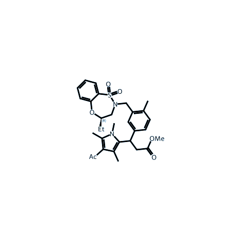 CC[C@@H]1CN(Cc2cc(C(CC(=O)OC)c3c(C)c(C(C)=O)c(C)n3C)ccc2C)S(=O)(=O)c2ccccc2O1